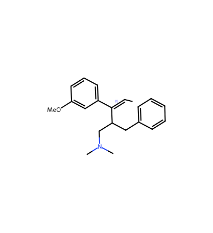 C/C=C(/c1cccc(OC)c1)C(Cc1ccccc1)CN(C)C